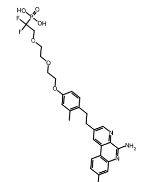 Cc1ccc2c(c1)nc(N)c1ncc(CCc3ccc(OCCOCCOCC(F)(F)P(=O)(O)O)cc3C)cc12